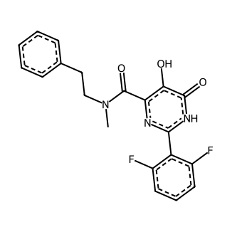 CN(CCc1ccccc1)C(=O)c1nc(-c2c(F)cccc2F)[nH]c(=O)c1O